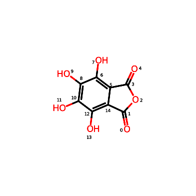 O=C1OC(=O)c2c(O)c(O)c(O)c(O)c21